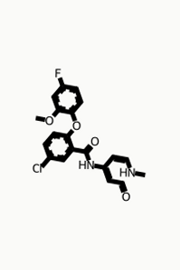 CN/C=C\C(=C/C=O)NC(=O)c1cc(Cl)ccc1Oc1ccc(F)cc1OC